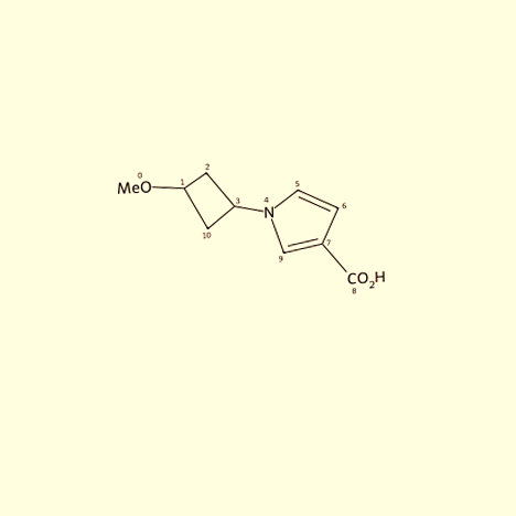 COC1CC(n2ccc(C(=O)O)c2)C1